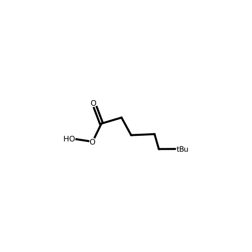 CC(C)(C)CCCCC(=O)OO